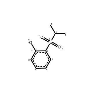 CC(C)S(=O)(=O)c1ccccc1[O]